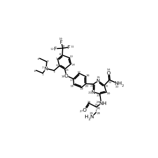 CCN(CC)Cc1cc(C(F)(F)F)ccc1Oc1ccc(-c2nc(N[C@@H](C=O)CN)cc(C(N)=O)n2)cc1